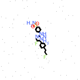 N.NS(=O)(=O)c1ccc(Nc2ncc(F)c(-c3ccc(CCCF)cc3)n2)cc1